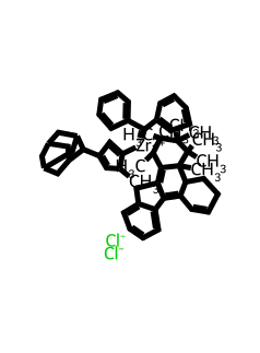 CC1C=C(C2C3CC4CC(C3)CC2C4)C=[C]1[Zr+2](=[C](c1ccccc1)c1ccccc1)[C]1(C)C2=C3Cc4ccccc4C3=C3C=CCCC3C2(C)C(C)(C)C(C)(C)C1(C)C.[Cl-].[Cl-]